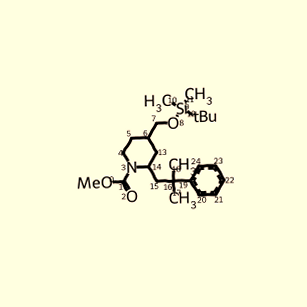 COC(=O)N1CCC(CO[Si](C)(C)C(C)(C)C)CC1CC(C)(C)c1ccccc1